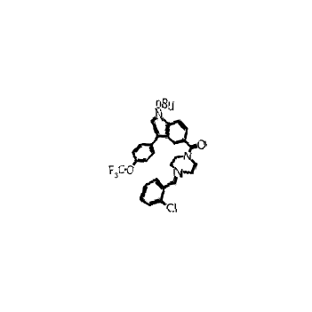 CCCCn1cc(-c2ccc(OC(F)(F)F)cc2)c2cc(C(=O)N3CCN(Cc4ccccc4Cl)CC3)ccc21